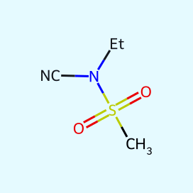 CCN(C#N)S(C)(=O)=O